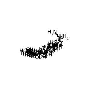 NCCC[C@@H](N)C(=O)OC(=O)C(O)(O)C(O)(O)C(O)(O)C(O)=C(O)C(O)(O)C(O)=C(O)C(O)(O)C(O)=C(O)C(O)=C(O)C(O)C(O)(O)C(O)(O)C(O)(O)C(O)(O)C(O)(O)O